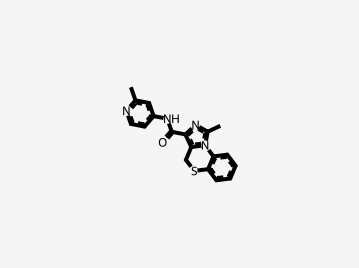 Cc1cc(NC(=O)c2nc(C)n3c2CSc2ccccc2-3)ccn1